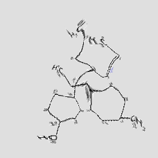 C/C=C\C(CCC)C(C)(C1CCC(C)CC1)C1CCC(O)CC1